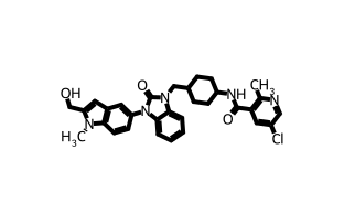 Cc1ncc(Cl)cc1C(=O)NC1CCC(Cn2c(=O)n(-c3ccc4c(c3)cc(CO)n4C)c3ccccc32)CC1